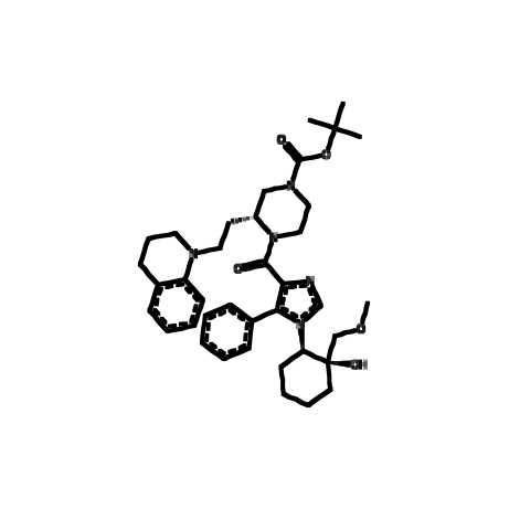 COC[C@]1(O)CCCC[C@H]1n1cnc(C(=O)N2CCN(C(=O)OC(C)(C)C)C[C@H]2CCN2CCCc3ccccc32)c1-c1ccccc1